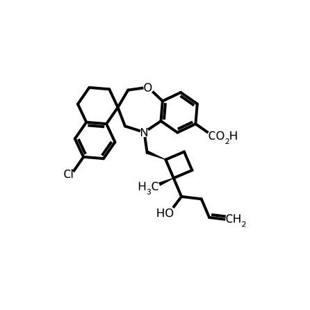 C=CCC(O)[C@@]1(C)CC[C@@H]1CN1CC2(CCCc3cc(Cl)ccc32)COc2ccc(C(=O)O)cc21